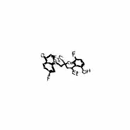 CCC(CC(O)(Cn1ccc(=O)c2ccc(F)cc21)C(F)(F)F)c1cc(F)ccc1O